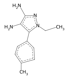 CCn1nc(N)c(N)c1-c1ccc(C)cc1